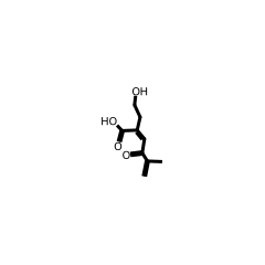 C=C(C)C(=O)C=C(CCO)C(=O)O